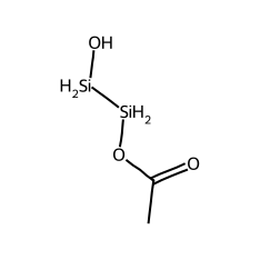 CC(=O)O[SiH2][SiH2]O